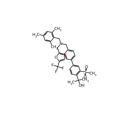 Cc1cc(C)c(CN(Cc2ccc(-c3ccc(C(C)(C)O)c(S(C)(=O)=O)c3)cc2)Cc2ccc(C(F)(F)F)o2)c(C)c1